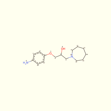 Nc1ccc(OCC(O)CN2CCCCCC2)cc1